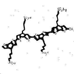 Cc1cc2c(s1)-c1sc(-c3cc4c(s3)-c3sc(-c5cc6c(s5)-c5sc(-c7cc8c(s7)-c7sccc7C8CCCCS(=O)(=O)O)cc5C6CCCCS(=O)(=O)O)cc3C4CCCCS(=O)(=O)O)cc1C2CCCCS(=O)(=O)O